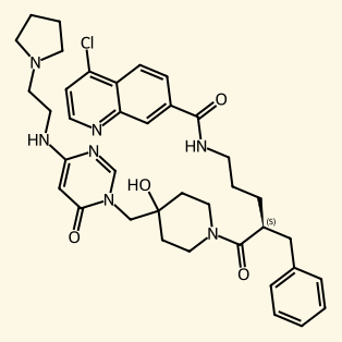 O=C(NCCC[C@@H](Cc1ccccc1)C(=O)N1CCC(O)(Cn2cnc(NCCN3CCCC3)cc2=O)CC1)c1ccc2c(Cl)ccnc2c1